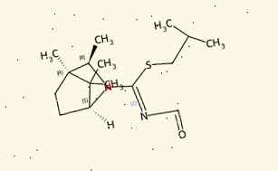 CC(C)CS/C(=N\C=O)N1[C@H]2CC[C@@](C)([C@H]1C)C2(C)C